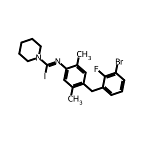 Cc1cc(N=C(I)N2CCCCC2)c(C)cc1Cc1cccc(Br)c1F